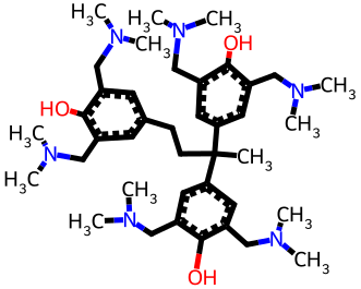 CN(C)Cc1cc(CCC(C)(c2cc(CN(C)C)c(O)c(CN(C)C)c2)c2cc(CN(C)C)c(O)c(CN(C)C)c2)cc(CN(C)C)c1O